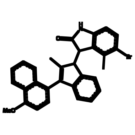 COc1ccc(C2=C(C)C(C3C(=O)Nc4ccc(Br)c(C)c43)c3ccccc32)c2ccccc12